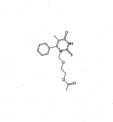 CC(=O)OCCOCn1c(-c2ccccc2)c(C)c(=O)[nH]c1=S